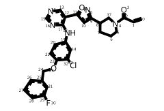 C=CC(=O)N1CCCC(c2cc(-c3cncnc3Nc3ccc(OCc4cccc(F)c4)c(Cl)c3)on2)C1